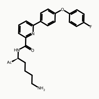 CC(=O)[C@H](CCCCN)NC(=O)c1cccc(-c2ccc(Oc3ccc(F)cc3)cc2)n1